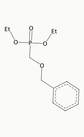 CCOP(=O)(COCc1ccccc1)OCC